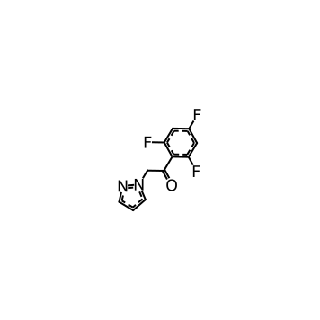 O=C(Cn1cccn1)c1c(F)cc(F)cc1F